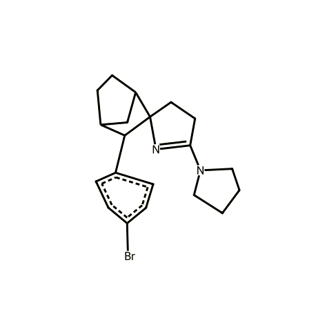 Brc1ccc(C2C3CCC(C3)C23CCC(N2CCCC2)=N3)cc1